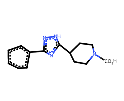 O=C(O)N1CCC(c2nc(-c3ccccc3)n[nH]2)CC1